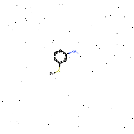 CC(C)Sc1cccc(N)c1